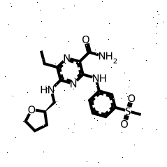 CCc1nc(C(N)=O)c(Nc2cccc(S(C)(=O)=O)c2)nc1NC[C@H]1CCCO1